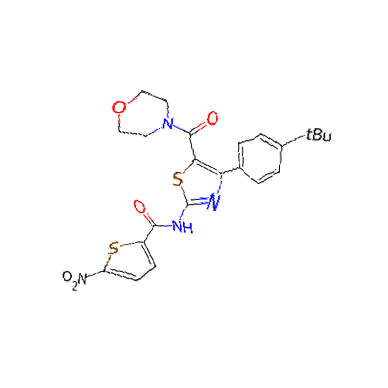 CC(C)(C)c1ccc(-c2nc(NC(=O)c3ccc([N+](=O)[O-])s3)sc2C(=O)N2CCOCC2)cc1